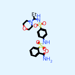 CCC(NS(=O)(=O)c1ccc(NS(=O)(=O)c2ccccc2C(N)=O)cc1)N1CCOCC1